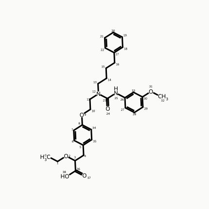 CCOC(Cc1ccc(OCCN(CCCCc2ccccc2)C(=O)Nc2cccc(OC)c2)cc1)C(=O)O